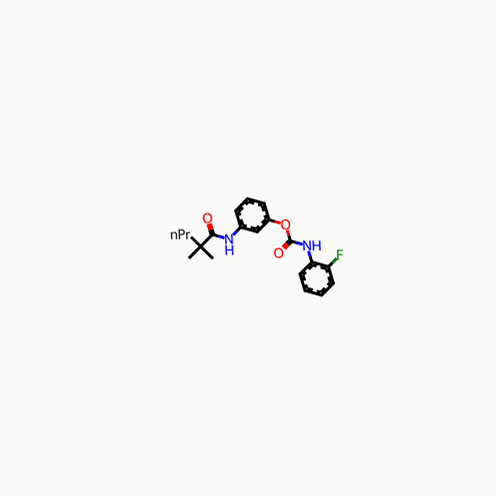 CCCC(C)(C)C(=O)Nc1cccc(OC(=O)Nc2ccccc2F)c1